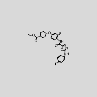 CCOC(=O)[C@H]1CC[C@H](Oc2ccc(NC(=O)c3nnc(Nc4ccc(F)cc4)o3)c(F)c2)CC1